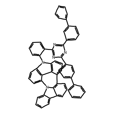 c1ccc(-c2ccc(-c3nc(-c4cccc(-c5ccccc5)c4)nc(-c4ccccc4-n4c5cccc6c7cccc8c9ccccc9n(c9cccc4c9c65)c78)n3)cc2)cc1